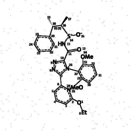 CCOc1cccc(-c2nnc(C(=O)N[S+]([O-])[C@H](C)[C@@H](C)c3ccccc3)n2-c2c(OC)cccc2OC)n1